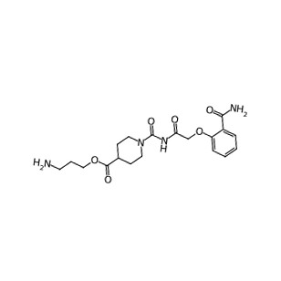 NCCCOC(=O)C1CCN(C(=O)NC(=O)COc2ccccc2C(N)=O)CC1